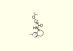 C/C=C1/CCCC[C@@H](NC(=O)N2CC(OC(C)C)C2)/C1=C/C(C)C